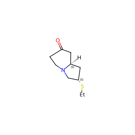 CCS[C@H]1C[C@@H]2CC(=O)CCN2C1